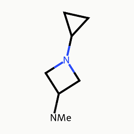 CNC1CN(C2CC2)C1